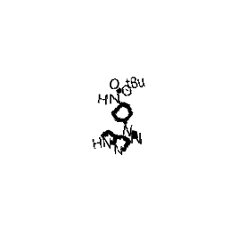 CC(C)(C)OC(=O)NC1CCC(n2cnc3cnc4[nH]ccc4c32)CC1